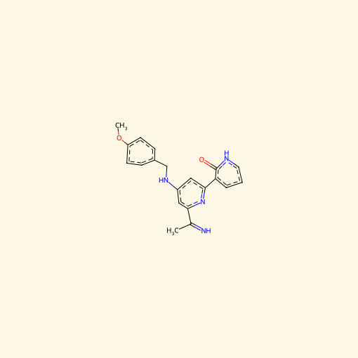 COc1ccc(CNc2cc(C(C)=N)nc(-c3ccc[nH]c3=O)c2)cc1